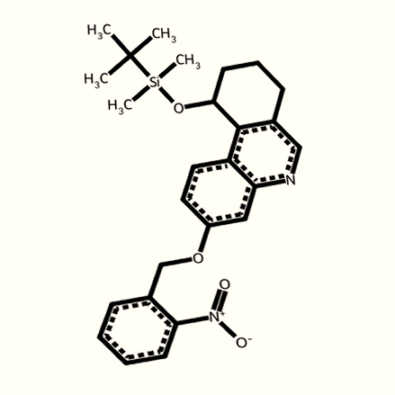 CC(C)(C)[Si](C)(C)OC1CCCc2cnc3cc(OCc4ccccc4[N+](=O)[O-])ccc3c21